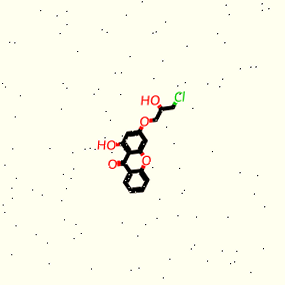 O=c1c2ccccc2oc2cc(OCC(O)CCl)cc(O)c12